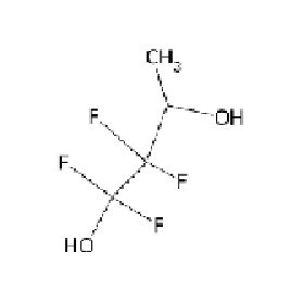 CC(O)C(F)(F)C(O)(F)F